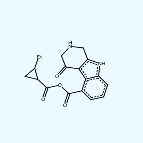 CCC1CC1C(=O)OC(=O)c1cccc2[nH]c3c(c12)C(=O)CNC3